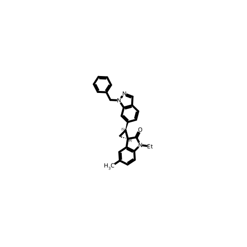 CCN1C(=O)[C@@]2(C[C@H]2c2ccc3cnn(Cc4ccccc4)c3c2)c2cc(C)ccc21